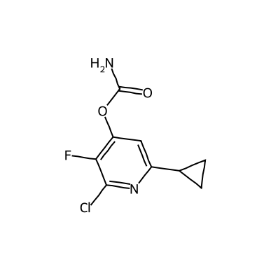 NC(=O)Oc1cc(C2CC2)nc(Cl)c1F